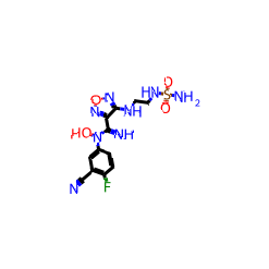 N#Cc1cc(N(O)C(=N)c2nonc2NCCNS(N)(=O)=O)ccc1F